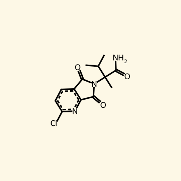 CC(C)C(C)(C(N)=O)N1C(=O)c2ccc(Cl)nc2C1=O